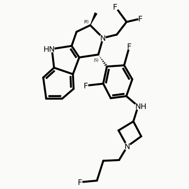 C[C@@H]1Cc2[nH]c3ccccc3c2[C@@H](c2c(F)cc(NC3CN(CCCF)C3)cc2F)N1CC(F)F